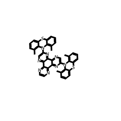 Cc1cccc2c1N(c1cnc3c4nccnc4c4nc(N5c6c(C)cccc6Sc6cccc(C)c65)cnc4c3n1)c1c(C)cccc1S2